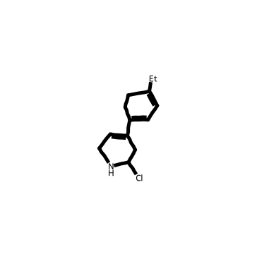 CCC1=CC=C(C2=CCNC(Cl)C2)CC1